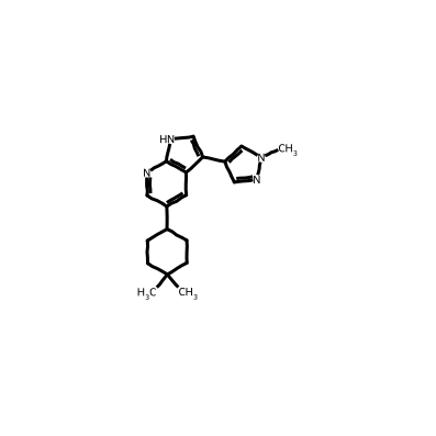 Cn1cc(-c2c[nH]c3ncc(C4CCC(C)(C)CC4)cc23)cn1